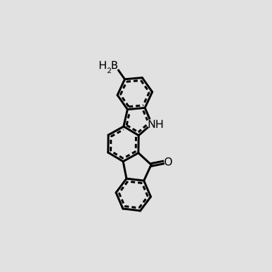 Bc1ccc2[nH]c3c4c(ccc3c2c1)-c1ccccc1C4=O